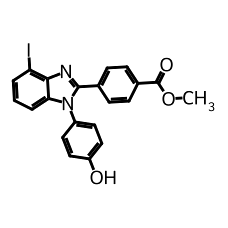 COC(=O)c1ccc(-c2nc3c(I)cccc3n2-c2ccc(O)cc2)cc1